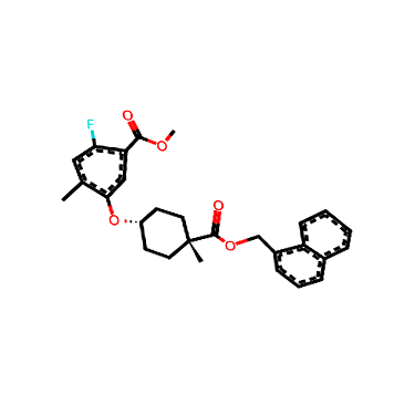 COC(=O)c1cc(O[C@H]2CC[C@@](C)(C(=O)OCc3cccc4ccccc34)CC2)c(C)cc1F